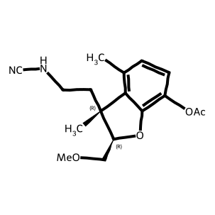 COC[C@@H]1Oc2c(OC(C)=O)ccc(C)c2[C@@]1(C)CCNC#N